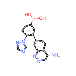 Nc1cnnc2cc(-c3cc(B(O)O)ccc3-n3cncn3)ccc12